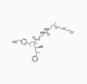 COCCOCCOC(C)CCNC(=O)NCCOC(=O)C(C)(CC(C#N)CC(C)c1ccccc1)CC(C)c1ccc(CO)cc1